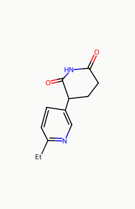 CCc1ccc(C2CCC(=O)NC2=O)cn1